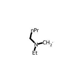 [CH2]CN([CH2])CCCC